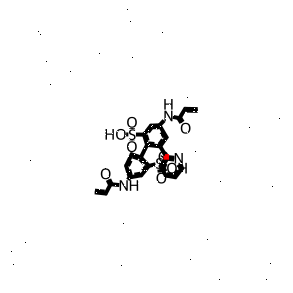 C=CC(=O)Nc1ccc(-c2c(-c3ccccn3)cc(NC(=O)C=C)cc2S(=O)(=O)O)c(S(=O)(=O)O)c1